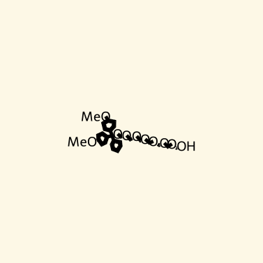 COc1ccc(C(OCOCOCOCOCOCOCO)(c2ccccc2)c2ccc(OC)cc2)cc1